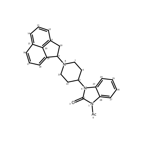 CC(=O)n1c(=O)n(C2CCN(C3Cc4cccc5cccc3c45)CC2)c2ccccc21